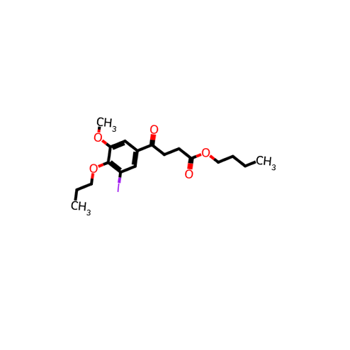 CCCCOC(=O)CCC(=O)c1cc(I)c(OCCC)c(OC)c1